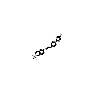 CS(=O)(=O)N1CCc2cc(OCCCC3CCN(c4ncc(F)cn4)CC3)ccc2C1